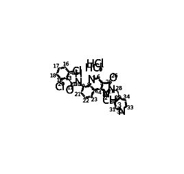 Cl.Cl.Cn1c2c(cnc3c(NC(=O)c4c(Cl)cccc4Cl)cccc32)c(=O)n1Cc1ccncc1